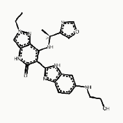 CCn1cc2[nH]c(=O)c(-c3nc4ccc(NCCO)cc4[nH]3)c(N[C@@H](C)c3cocn3)c2n1